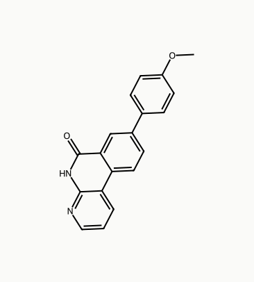 COc1ccc(-c2ccc3c(c2)c(=O)[nH]c2ncccc23)cc1